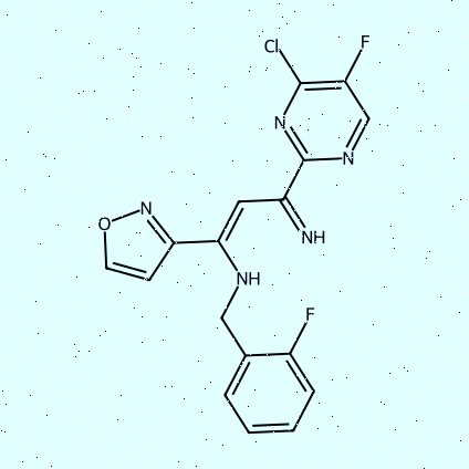 N=C(/C=C(\NCc1ccccc1F)c1ccon1)c1ncc(F)c(Cl)n1